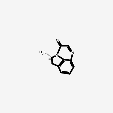 [CH2][C@H]1Cc2cccc3ncc(=O)n1c23